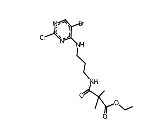 CCOC(=O)C(C)(C)C(=O)NCCCNc1nc(Cl)ncc1Br